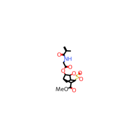 C=C(C)C(=O)NCC(=O)OC1C2CC3C1OS(=O)(=O)C3C2C(=O)OC